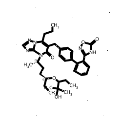 CCCc1c(Cc2ccc(-c3ccccc3-c3noc(=O)[nH]3)cc2)c(=O)n([C@@H](C)CC[C@H](CC)OC(CC)C(C)(C)O)c2ncnn12